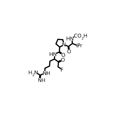 CC(C)C(NC(=O)O)C(=O)N1CCCC1C(=O)NC(CCCNC(=N)N)C(=O)CF